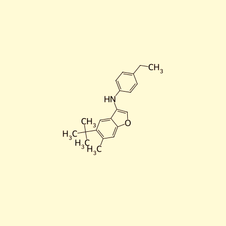 CCc1ccc(Nc2coc3cc(C)c(C(C)(C)C)cc23)cc1